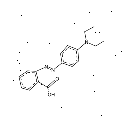 CCN(CC)c1ccc(N=Nc2ccccc2C(=O)O)cc1